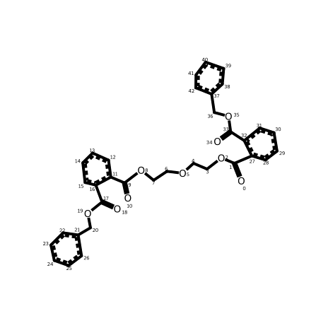 O=C(OCCOCCOC(=O)c1ccccc1C(=O)OCc1ccccc1)c1ccccc1C(=O)OCc1ccccc1